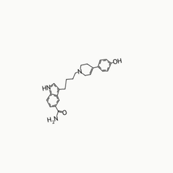 NC(=O)c1ccc2[nH]cc(CCCCN3CC=C(c4ccc(O)cc4)CC3)c2c1